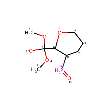 COC([O])(OC)C1OCCCC1[PH2]=O